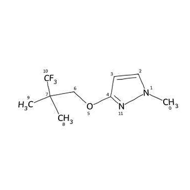 Cn1ccc(OCC(C)(C)C(F)(F)F)n1